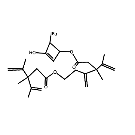 C=C(C)C(C)(CC(=O)OCCC(=C)C(C)(CC(=O)OC1C=C(O)C1C(C)(C)C)C(=C)C)C(=C)C